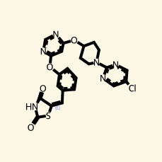 O=C1NC(=O)/C(=C\c2cccc(Oc3cc(OC4CCN(c5ncc(Cl)cn5)CC4)ncn3)c2)S1